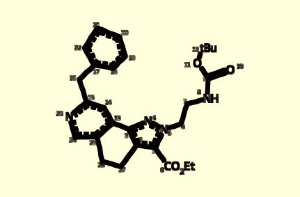 CCOC(=O)c1c2c(nn1CCNC(=O)OC(C)(C)C)-c1cc(Cc3ccccc3)ncc1CC2